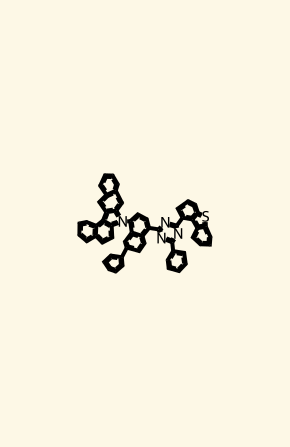 c1ccc(-c2ccc3c(-c4nc(-c5ccccc5)nc(-c5cccc6sc7ccccc7c56)n4)ccc(-n4c5cc6ccccc6cc5c5c6ccccc6ccc54)c3c2)cc1